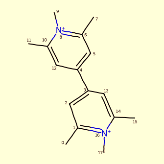 Cc1cc(-c2cc(C)[n+](C)c(C)c2)cc(C)[n+]1C